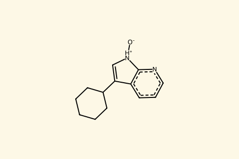 [O-][NH+]1C=C(C2CCCCC2)c2cccnc21